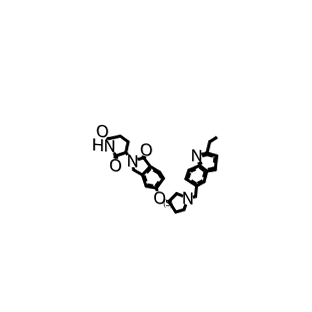 CCc1ccc2cc(CN3CC[C@H](Oc4ccc5c(c4)CN(C4CCC(=O)NC4=O)C5=O)C3)ccc2n1